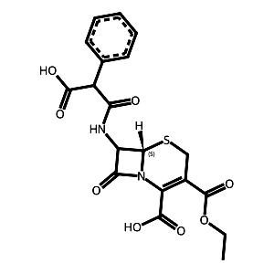 CCOC(=O)C1=C(C(=O)O)N2C(=O)C(NC(=O)C(C(=O)O)c3ccccc3)[C@@H]2SC1